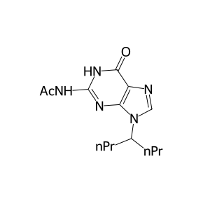 CCCC(CCC)n1cnc2c(=O)[nH]c(NC(C)=O)nc21